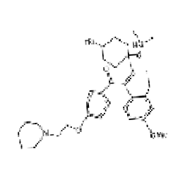 COc1ccc2c(c1)CCC(C1(O[SiH](C)C)CCC(C(C)(C)C)CC1)=C2C(=O)c1ccc(OCCN2CCCCC2)cc1